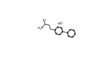 CCC(N)CCc1ccc(-c2ccccc2)cc1.Cl